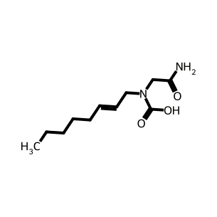 CCCCCC=CCN(CC(N)=O)C(=O)O